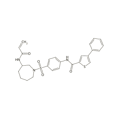 C=CC(=O)NC1CCCCN(S(=O)(=O)c2ccc(NC(=O)c3cc(-c4ccccc4)cs3)cc2)C1